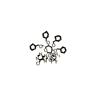 C[C@@]1(OS(=O)(=O)C(F)(F)F)[C@H](OCc2ccccc2)[C@@H](OCc2ccccc2)[C@H](OCc2ccccc2)[C@@H](COCc2ccccc2)O[C@H]1n1cnc2c(Cl)ncnc21